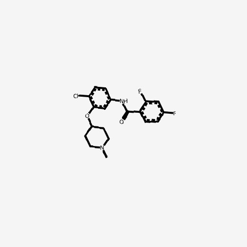 CN1CCC(Oc2cc(NC(=O)c3ccc(F)cc3F)ccc2Cl)CC1